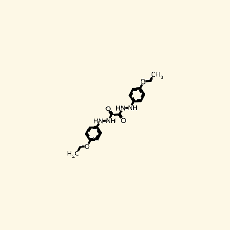 CCOc1ccc(NNC(=O)C(=O)NNc2ccc(OCC)cc2)cc1